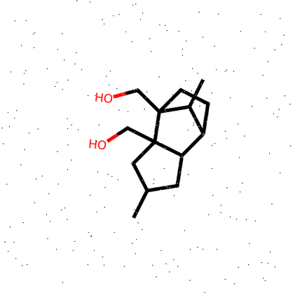 CC1CC2C3CCC(CO)(C3C)C2(CO)C1